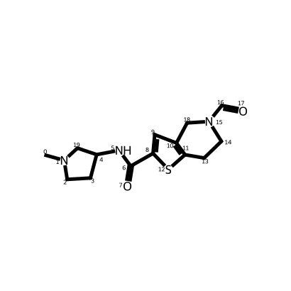 CN1CCC(NC(=O)c2cc3c(s2)CCN(C=O)C3)C1